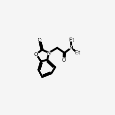 CCN(CC)C(=O)Cn1c(=O)oc2ccccc21